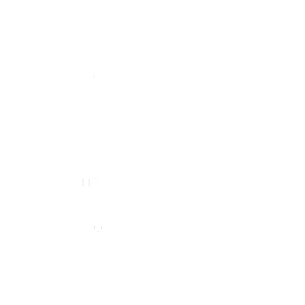 O=[C]C1(O)c2ccccc2-c2ccc(Cl)cc21